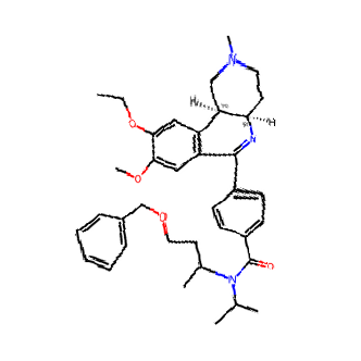 CCOc1cc2c(cc1OC)C(c1ccc(C(=O)N(C(C)C)C(C)CCOCc3ccccc3)cc1)=N[C@@H]1CCN(C)C[C@H]21